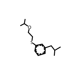 CC(C)Cc1cccc(SCCOC(C)C)c1